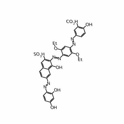 CCOc1cc(N=Nc2c(S(=O)(=O)O)cc3ccc(N=Nc4ccc(O)cc4O)cc3c2O)c(OCC)cc1N=Nc1ccc(O)c(C(=O)O)c1